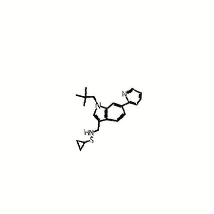 CC(C)(C)Cn1cc(CNSC2CC2)c2ccc(-c3ccccn3)cc21